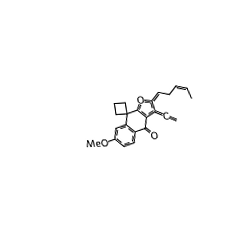 C=C=c1c2c(o/c1=C/C/C=C\C)C1(CCC1)c1cc(OC)ccc1C2=O